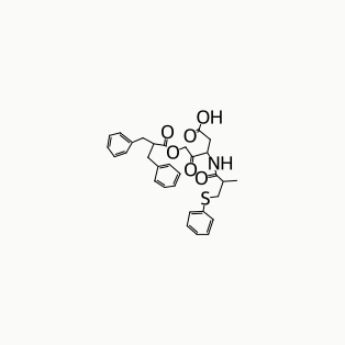 CC(CSc1ccccc1)C(=O)NC(CC(=O)O)C(=O)COC(=O)C(Cc1ccccc1)Cc1ccccc1